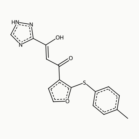 Cc1ccc(Sc2occc2C(=O)C=C(O)c2nc[nH]n2)cc1